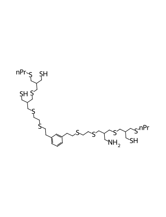 CCCSCC(CS)CSCC(CN)CSCCSCCc1cccc(CCSCCSCC(CS)CSCC(CS)CSCCC)c1